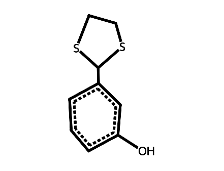 Oc1cccc(C2SCCS2)c1